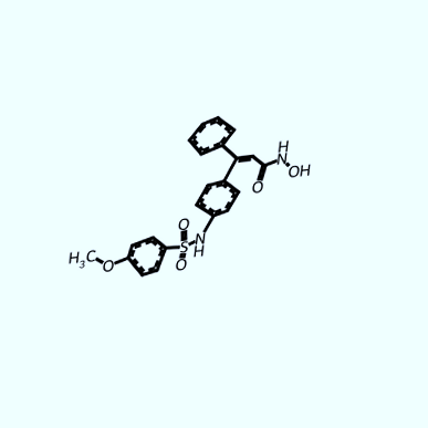 COc1ccc(S(=O)(=O)Nc2ccc(/C(=C\C(=O)NO)c3ccccc3)cc2)cc1